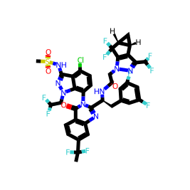 CC(F)(F)c1ccc2c(=O)n(-c3ccc(Cl)c4c(NS(C)(=O)=O)nn(CC(F)F)c34)c([C@H](Cc3cc(F)cc(F)c3)NC(=O)Cn3nc(C(F)F)c4c3C(F)(F)[C@@H]3C[C@H]43)nc2c1